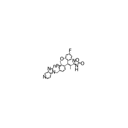 CCCc1nc2cnccc2n1Cc1ccc2c(c1)COc1cc(F)ccc1/C2=C(/C)c1noc(=O)[nH]1